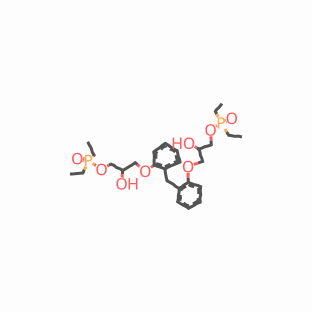 CCP(=O)(CC)OCC(O)COc1ccccc1Cc1ccccc1OCC(O)COP(=O)(CC)CC